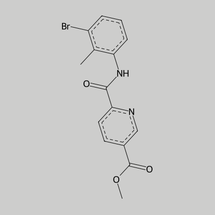 COC(=O)c1ccc(C(=O)Nc2cccc(Br)c2C)nc1